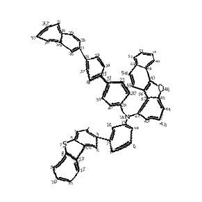 c1cc(-c2ccc3sc4ccccc4c3c2)cc(N(c2ccc(-c3ccc(-c4ccc5ccccc5c4)cc3)cc2)c2cccc3oc4c5ccccc5ccc4c23)c1